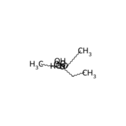 CCCCCCCC/C=C\CCCCCCC(CCCCCCCCCCCCCCCC)(CCCCCCCCCCCCCCCC)C(=O)OC(=O)C(O)CC(=O)O